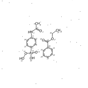 CC(=O)Nc1ccc([As](=O)(O)OO)cc1.CCOC(=O)c1ccccc1